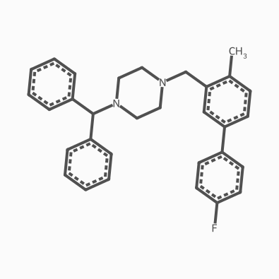 Cc1ccc(-c2ccc(F)cc2)cc1CN1CCN(C(c2ccccc2)c2ccccc2)CC1